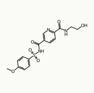 COc1ccc(S(=O)(=O)NC(=O)c2ccc(C(=O)NCCO)nc2)cc1